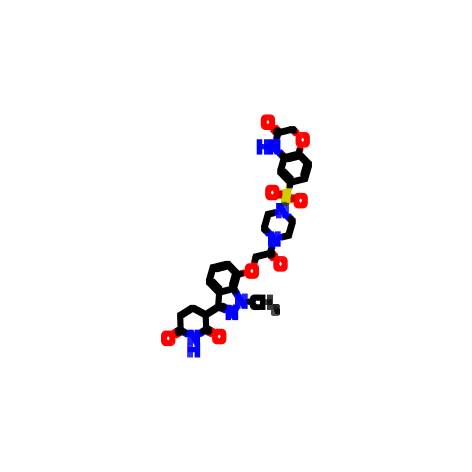 Cn1nc(C2CCC(=O)NC2=O)c2cccc(OCC(=O)N3CCN(S(=O)(=O)c4ccc5c(c4)NC(=O)CO5)CC3)c21